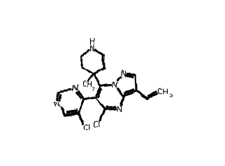 C=Cc1cnn2c(C3(C)CCNCC3)c(-c3ncncc3Cl)c(Cl)nc12